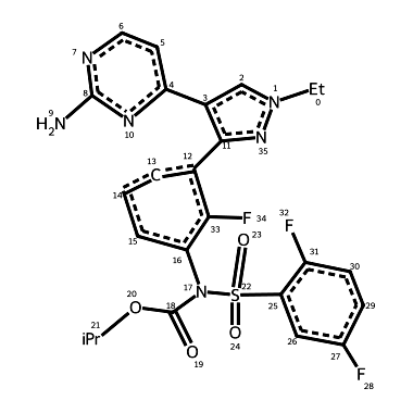 CCn1cc(-c2ccnc(N)n2)c(-c2cccc(N(C(=O)OC(C)C)S(=O)(=O)c3cc(F)ccc3F)c2F)n1